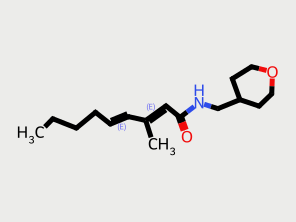 CCCC/C=C/C(C)=C/C(=O)NCC1CCOCC1